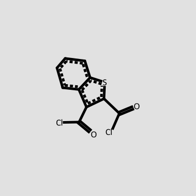 O=C(Cl)c1sc2ccccc2c1C(=O)Cl